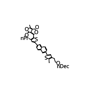 CCCCCCCCCCOCCc1cc(-c2ccc3cc(-c4cc(CCC)c(C5=C6C(=O)OC(C)=C6C(=O)O5)s4)ccc3c2)sc1C